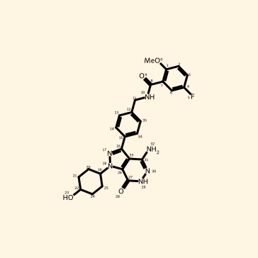 COc1ccc(F)cc1C(=O)NCc1ccc(-c2nn(C3CCC(O)CC3)c3c(=O)[nH]nc(N)c23)cc1